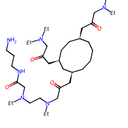 CCN(CC)CC(=O)C[C@H]1CCCC[C@@H](CC(=O)CN(CC)CCN(CC)CC(=O)NCCCN)C[C@@H](CC(=O)CN(CC)CC)CC1